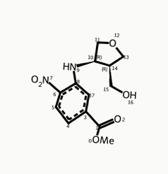 COC(=O)c1ccc([N+](=O)[O-])c(N[C@H]2COC[C@H]2CO)c1